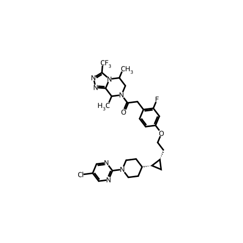 CC1c2nnc(C(F)(F)F)n2C(C)CN1C(=O)Cc1ccc(OCC[C@@H]2C[C@@H]2C2CCN(c3ncc(Cl)cn3)CC2)cc1F